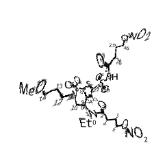 CCN(C(=O)CCCO[N+](=O)[O-])[C@H]1CN(CCCOC)S(=O)(=O)c2sc(S(=O)(=O)NC(=O)CCCO[N+](=O)[O-])cc21